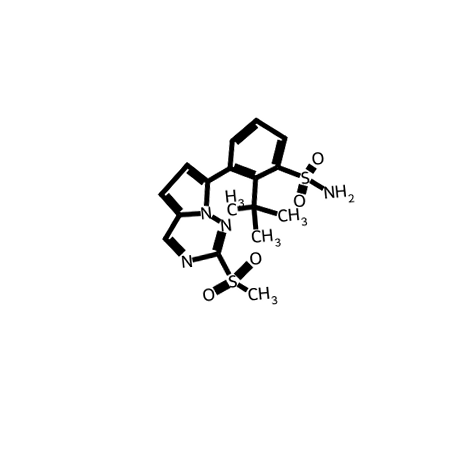 CC(C)(C)c1c(-c2ccc3cnc(S(C)(=O)=O)nn23)cccc1S(N)(=O)=O